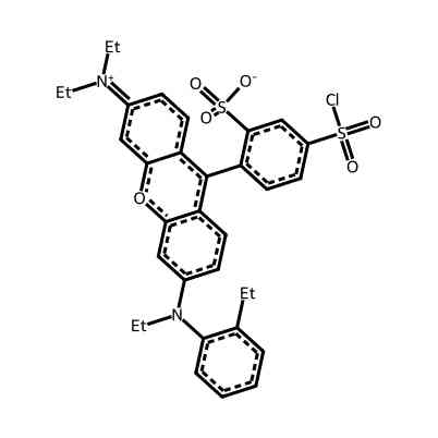 CCc1ccccc1N(CC)c1ccc2c(-c3ccc(S(=O)(=O)Cl)cc3S(=O)(=O)[O-])c3ccc(=[N+](CC)CC)cc-3oc2c1